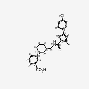 Cc1nc(-c2ccc(Cl)cc2)sc1C(=O)NCC1CCCN(c2cccc(C(=O)O)c2)C1